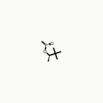 C[C@@H](O[P+](C)=O)C(C)(C)C